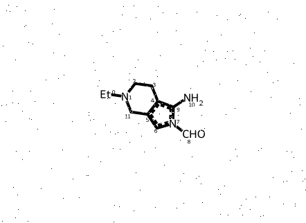 CCN1CCc2c(cn(C=O)c2N)C1